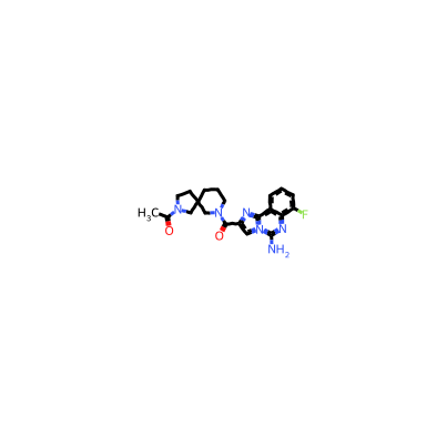 CC(=O)N1CCC2(CCCN(C(=O)c3cn4c(N)nc5c(F)cccc5c4n3)C2)C1